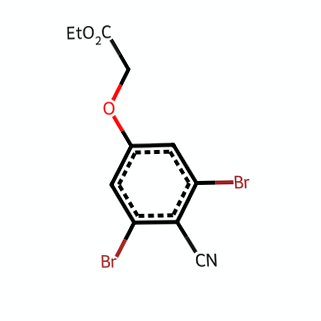 CCOC(=O)COc1cc(Br)c(C#N)c(Br)c1